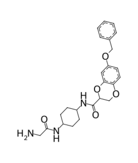 NCC(=O)NC1CCC(NC(=O)C2COc3ccc(OCc4ccccc4)cc3O2)CC1